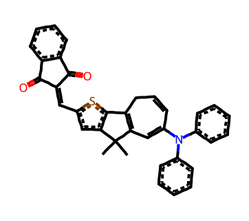 CC1(C)C2=C(CC=CC(N(c3ccccc3)c3ccccc3)=C2)c2sc(C=C3C(=O)c4ccccc4C3=O)cc21